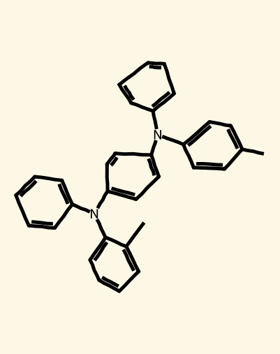 Cc1ccc(N(c2ccccc2)c2ccc(N(c3ccccc3)c3ccccc3C)cc2)cc1